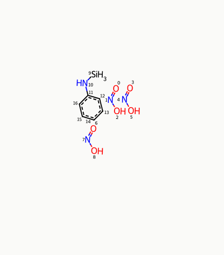 O=NO.O=NO.O=NO.[SiH3]Nc1ccccc1